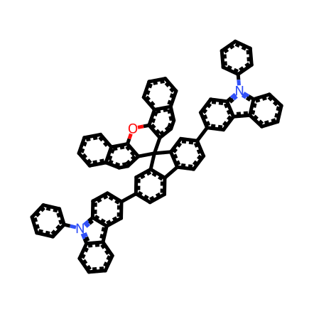 c1ccc(-n2c3ccccc3c3cc(-c4ccc5c(c4)C4(c6cc(-c7ccc8c(c7)c7ccccc7n8-c7ccccc7)ccc6-5)c5ccc6ccccc6c5Oc5c4ccc4ccccc54)ccc32)cc1